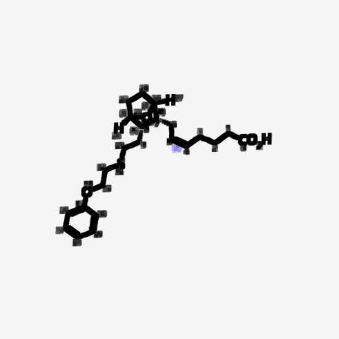 O=C(O)CCC/C=C\C[C@@H]1[C@H](CCSCCOc2ccccc2)[C@@H]2CC[C@H]1O2